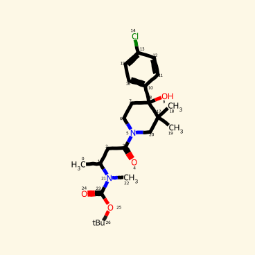 CC(CC(=O)N1CCC(O)(c2ccc(Cl)cc2)C(C)(C)C1)N(C)C(=O)OC(C)(C)C